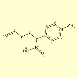 Cc1ccc(C(CCC=O)C(=O)O)cc1